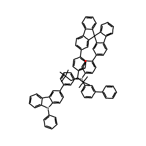 CC(C)(C)CC(c1ccc(-c2ccc3c(c2)C2(c4ccccc4-3)c3ccccc3-c3ccc(-c4ccc(N(c5cccc(-c6ccccc6)c5)c5cccc(-c6ccc7c(c6)c6ccccc6n7-c6ccccc6)c5)cc4)cc32)cc1)C(C)(C)C